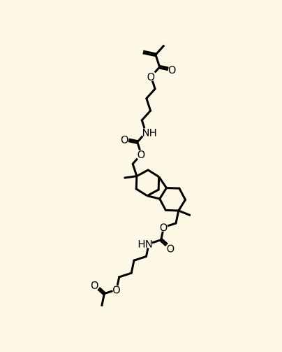 C=C(C)C(=O)OCCCCNC(=O)OCC1(C)CC2CC(C1)C1CC(C)(COC(=O)NCCCCOC(C)=O)CCC21